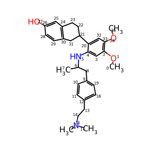 COc1cc(NC(C)Cc2ccc(CCN(C)C)cc2)c(C2CCc3cc(O)ccc3C2)cc1OC